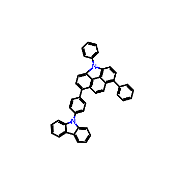 c1ccc(-c2ccc3c4c2ccc2c(-c5ccc(-n6c7ccccc7c7ccccc76)cc5)ccc(c24)n3-c2ccccc2)cc1